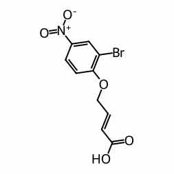 O=C(O)C=CCOc1ccc([N+](=O)[O-])cc1Br